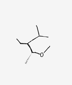 CO[C@H](C)C(C)C(C)C